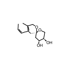 C/C=C\C1=C(C)CO[C@]2(C1)C[C@H](O)[C@H](O)CO2